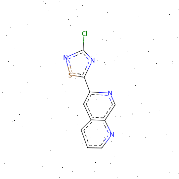 Clc1nsc(-c2cc3cccnc3cn2)n1